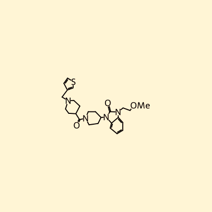 COCCn1c(=O)n(C2CCN(C(=O)C3CCN(Cc4ccsc4)CC3)CC2)c2ccccc21